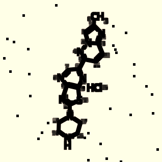 Cc1cn2nc(-c3cnc4nc(N5CCNCC5)sc4n3)ccc2n1.Cl